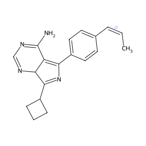 C/C=C\c1ccc(C2=C3C(N)=NC=NC3C(C3CCC3)=N2)cc1